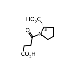 O=C(O)CCC(=O)N1CCC[C@H]1C(=O)O